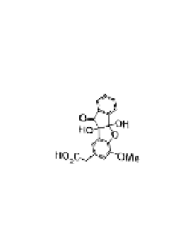 COc1cc(CC(=O)O)cc2c1OC1(O)c3ccccc3C(=O)C21O